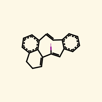 I/C1=C\c2ccccc2/C=C/c2cccc3c2C1=CCC3